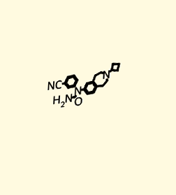 N#Cc1cccc(N(C(N)=O)c2ccc3c(c2)CCN(C2CCC2)CC3)c1